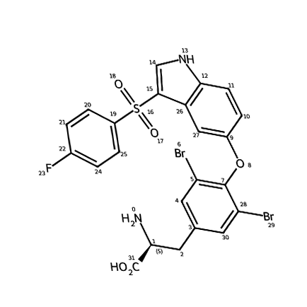 N[C@@H](Cc1cc(Br)c(Oc2ccc3[nH]cc(S(=O)(=O)c4ccc(F)cc4)c3c2)c(Br)c1)C(=O)O